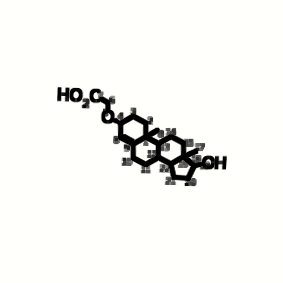 CC12CC[C@H](OCC(=O)O)C=C1CCC1C2CCC2(C)C(O)CCC12